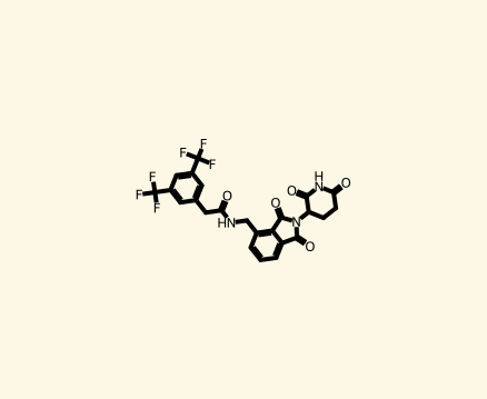 O=C(Cc1cc(C(F)(F)F)cc(C(F)(F)F)c1)NCc1cccc2c1C(=O)N(C1CCC(=O)NC1=O)C2=O